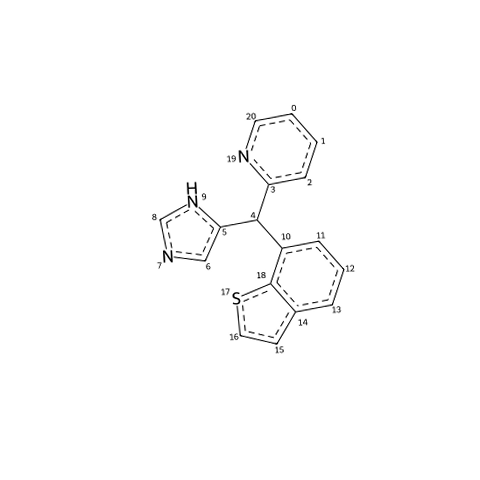 c1ccc(C(c2cnc[nH]2)c2cccc3ccsc23)nc1